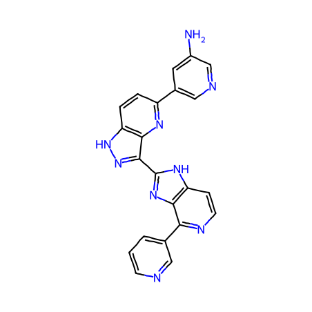 Nc1cncc(-c2ccc3[nH]nc(-c4nc5c(-c6cccnc6)nccc5[nH]4)c3n2)c1